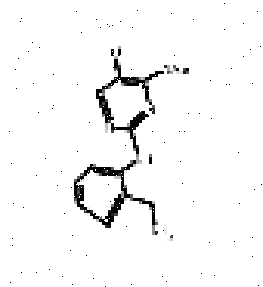 CNc1nc(Nc2cc[c]cc2CN)ncc1Cl